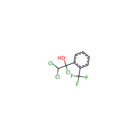 OC(Cl)(c1ccccc1C(F)(F)F)C(Cl)Cl